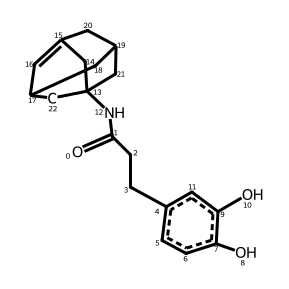 O=C(CCc1ccc(O)c(O)c1)NC12CC3=CC(CC(C3)C1)C2